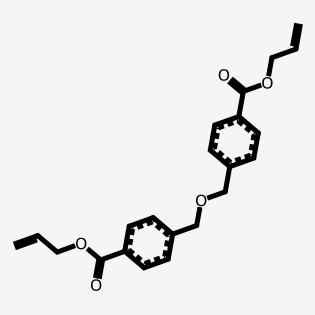 C=CCOC(=O)c1ccc(COCc2ccc(C(=O)OCC=C)cc2)cc1